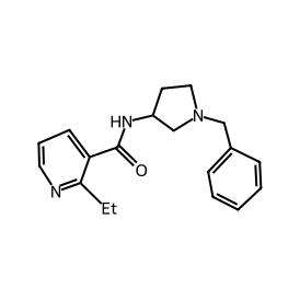 CCc1ncccc1C(=O)NC1CCN(Cc2ccccc2)C1